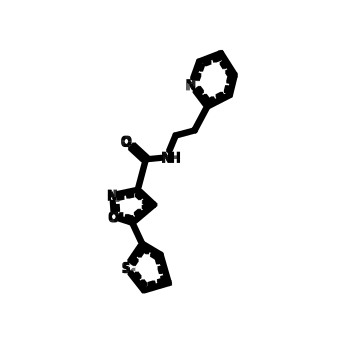 O=C(NCCc1ccccn1)c1cc(-c2cccs2)on1